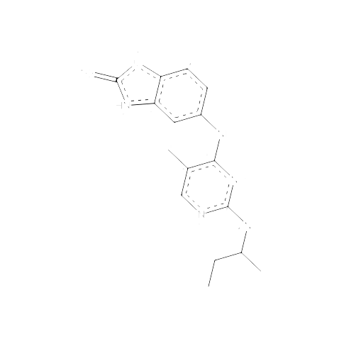 CCC(C)Nc1ncc(C)c(Nc2ccc3oc(=O)[nH]c3c2)n1